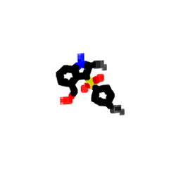 Cc1ccc(S(=O)(=O)c2c(C)[nH]c3cccc(CO)c23)cc1